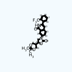 CC1(C)OCC(C2CN(c3ccc4cc(-c5ccccc5C(F)(F)F)[nH]c(=O)c4c3)C(=O)O2)CO1